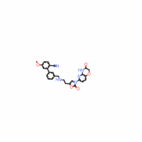 COc1ccc(C#N)c(-c2cccc(CNCCc3cn(-c4ccc5c(n4)NC(=O)CO5)c(=O)o3)c2)c1